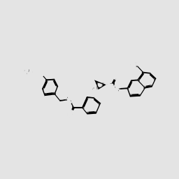 COc1ccc(CNC(=O)c2cccc([C@@H]3C[C@H]3C(=O)Nc3ccc4cccc(Cl)c4c3)c2)cc1